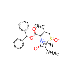 CC(=O)NC1C(=O)N2C(C(=O)OC(c3ccccc3)c3ccccc3)=C(C=O)C[S+]([O-])[C@H]12